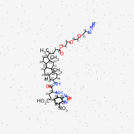 CC(CCC(=O)OCCOCCOCCN=[N+]=[N-])C1CCC2C3CC[C@@H]4C[C@H](NC(=O)C(CCC(=O)O)Nc5ccc([N+](=O)[O-])c6nonc56)CC[C@]4(C)C3CC[C@]12C